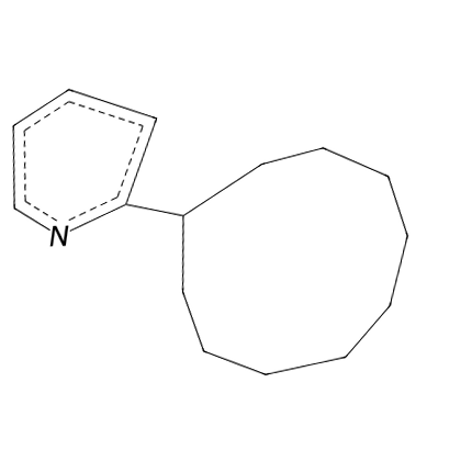 c1ccc(C2CCCCCCCCC2)nc1